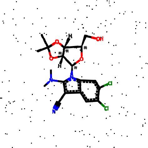 CN(C)c1c(C#N)c2cc(Cl)c(Cl)cc2n1[C@@H]1O[C@H](CO)[C@H]2OC(C)(C)O[C@H]21